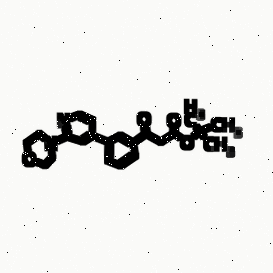 CC(C)(C)OC(=O)CC(=O)c1cccc(-c2ccnc(N3CCOCC3)c2)c1